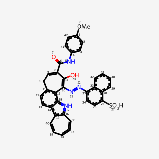 COc1ccc(NC(=O)C2=CCc3ccc4c5c([nH]c4c3C(N=Nc3ccc(S(=O)(=O)O)c4ccccc34)=C2O)C=C=CC=C5)cc1